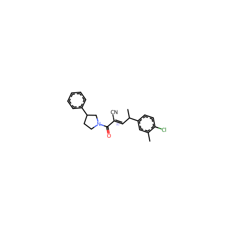 Cc1cc(C(C)/C=C(\C#N)C(=O)N2CCC(c3ccccc3)C2)ccc1Cl